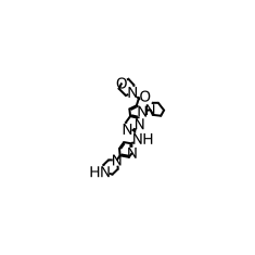 O=C(c1cc2cnc(Nc3ccc(N4CCNCC4)cn3)nc2n1N1CCCCC1)N1CCOCC1